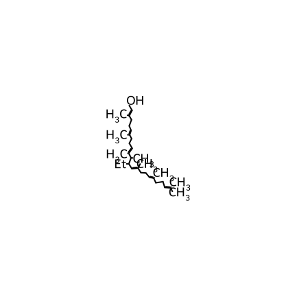 CCC(/C=C(\C)CC/C=C(\C)CCC=C(C)C)C(C)/C(C)=C/CC/C(C)=C/CC/C(C)=C/CO